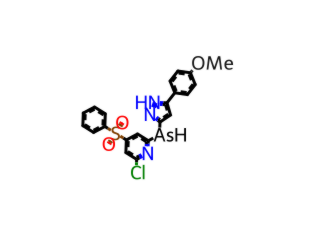 COc1ccc(-c2cc([AsH]c3cc(S(=O)(=O)c4ccccc4)cc(Cl)n3)n[nH]2)cc1